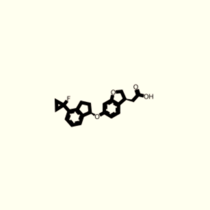 O=C(O)C[C@@H]1COc2cc(O[C@@H]3CCc4c3cccc4C3(F)CC3)ccc21